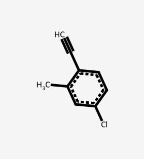 C#Cc1ccc(Cl)cc1C